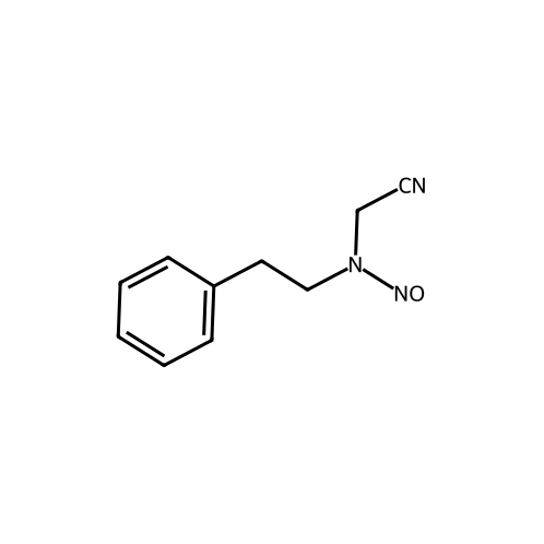 N#CCN(CCc1ccccc1)N=O